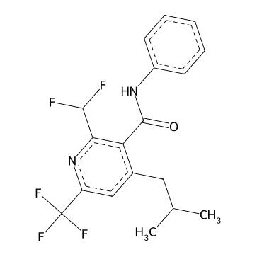 CC(C)Cc1cc(C(F)(F)F)nc(C(F)F)c1C(=O)Nc1ccccc1